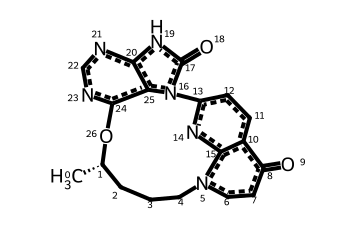 C[C@H]1CCCn2ccc(=O)c3ccc(nc32)-n2c(=O)[nH]c3ncnc(c32)O1